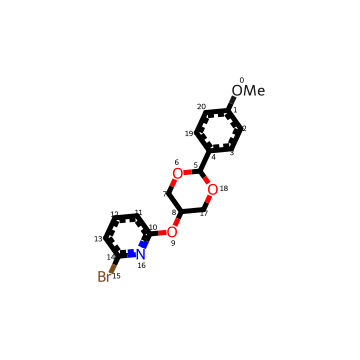 COc1ccc(C2OCC(Oc3cccc(Br)n3)CO2)cc1